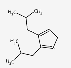 CC(C)CC1=[C]CC=C1CC(C)C